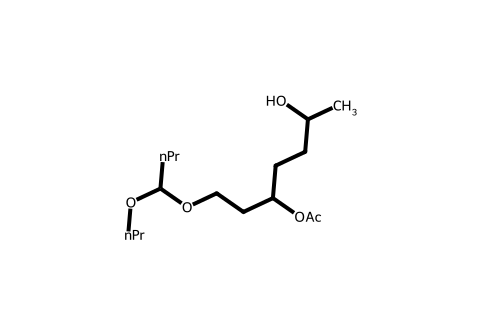 CCCOC(CCC)OCCC(CCC(C)O)OC(C)=O